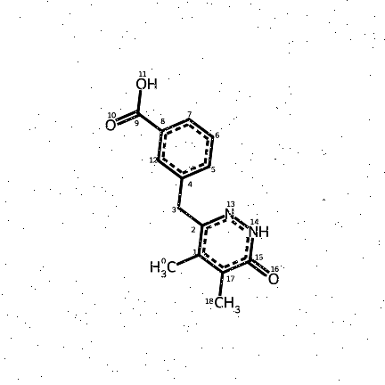 Cc1c(Cc2cccc(C(=O)O)c2)n[nH]c(=O)c1C